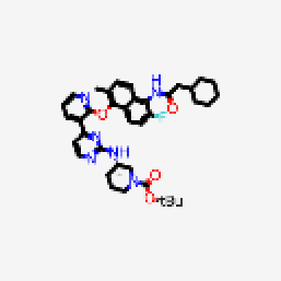 Cc1ccc2c(NC(=O)CC3CCCCC3)c(F)ccc2c1Oc1ncccc1-c1ccnc(N[C@H]2CCCN(C(=O)OC(C)(C)C)C2)n1